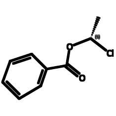 C[C@H](Cl)OC(=O)c1ccccc1